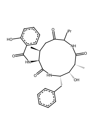 CC(C)C1NC(=O)[C@H](C)[C@H](O)[C@H](Cc2ccccc2)NC(=O)[C@@H](NC(=O)c2ccccc2O)[C@@H](C)CC1=O